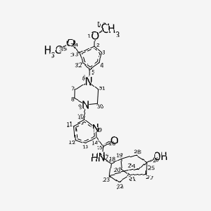 COc1ccc(N2CCN(c3cccc(C(=O)NC4C5CC6CC4CC(O)(C6)C5)n3)CC2)cc1OC